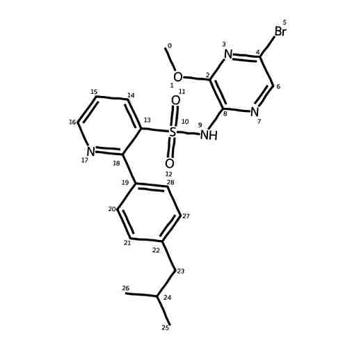 COc1nc(Br)cnc1NS(=O)(=O)c1cccnc1-c1ccc(CC(C)C)cc1